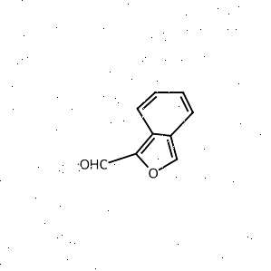 O=[C]c1occ2ccccc12